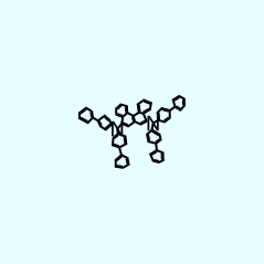 c1ccc(-c2ccc(N(c3ccc(-c4ccccc4)cc3)c3cc4cc(N(c5ccc(-c6ccccc6)cc5)c5ccc(-c6ccccc6)cc5)c5ccccc5c4c4ccccc34)cc2)cc1